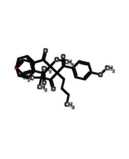 CCCCC(C(=O)c1ccc(OC)cc1)(C(=O)C(C)(C)C)C(OC)(C(=O)c1ccccc1)C(=O)c1ccccc1